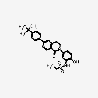 CCS(=O)(=O)Nc1cc(N2CCc3cc(-c4ccc(C(C)(C)C)cc4)ccc3C2=O)ccc1O